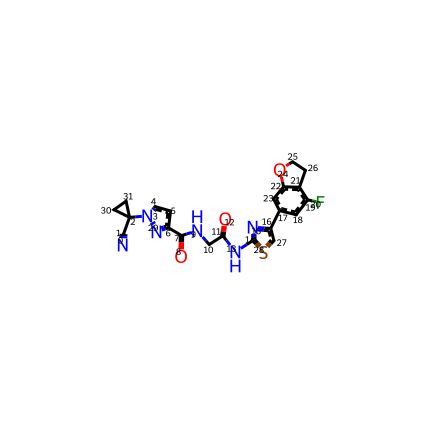 N#CC1(n2ccc(C(=O)NCC(=O)Nc3nc(-c4cc(F)c5c(c4)OCC5)cs3)n2)CC1